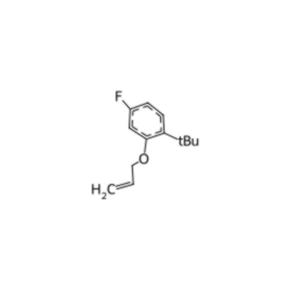 C=CCOc1cc(F)ccc1C(C)(C)C